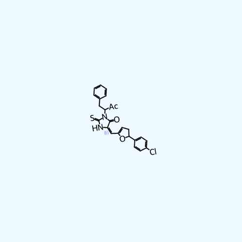 CC(=O)C(Cc1ccccc1)N1C(=O)/C(=C\C2=CCC(c3ccc(Cl)cc3)O2)NC1=S